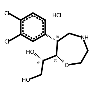 Cl.OC[C@H](O)[C@H]1OCCNC[C@H]1c1ccc(Cl)c(Cl)c1